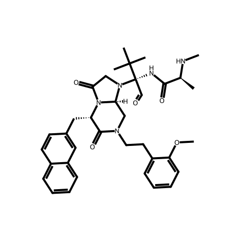 CN[C@@H](C)C(=O)N[C@](C=O)(N1CC(=O)N2[C@@H](Cc3ccc4ccccc4c3)C(=O)N(CCc3ccccc3OC)C[C@@H]21)C(C)(C)C